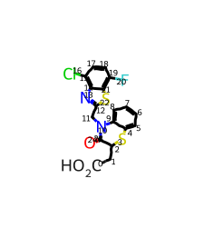 O=C(O)CC1Sc2ccccc2N(Cc2nc3c(Cl)ccc(F)c3s2)C1=O